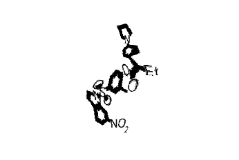 CCC(C(=O)Oc1ccc(S(=O)(=O)N2CCc3ccc([N+](=O)[O-])cc32)cc1C)c1ccc(N2CCCC2)cc1